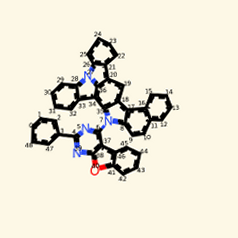 c1ccc(-c2nc(-n3c4ccc5ccccc5c4c4cc5c6ccccc6n6c7ccccc7c(c43)c56)c3c(n2)oc2ccccc23)cc1